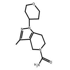 Cc1nn(C2CCOCC2)c2c1CN(C(N)=O)CC2